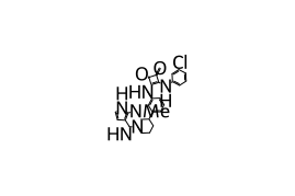 CNc1[nH]ccc1C(=N)N1CCCC(c2cccc(Nc3c(Nc4cccc(Cl)c4)c(=O)c3=O)c2)C1